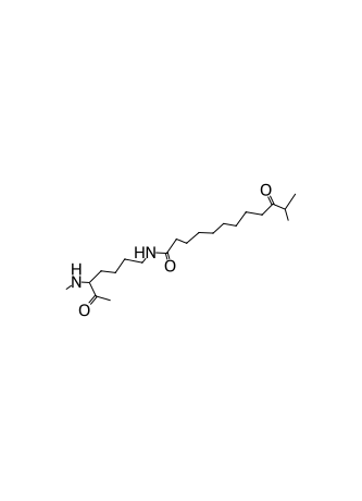 CNC(CCCCNC(=O)CCCCCCCCC(=O)C(C)C)C(C)=O